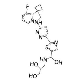 OCC(O)CNC(O)c1cnc(-c2ccc(NCC3(c4ncccc4F)CCC3)nn2)s1